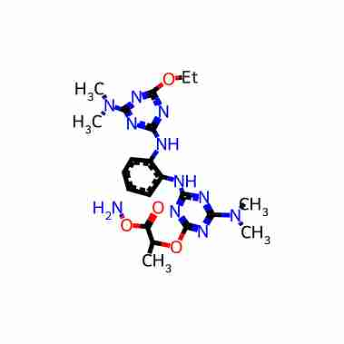 CCOc1nc(Nc2ccccc2Nc2nc(OC(C)C(=O)ON)nc(N(C)C)n2)nc(N(C)C)n1